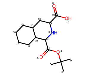 CC(C)(C)OC(=O)C1NC(C(=O)O)CC2CCCCC21